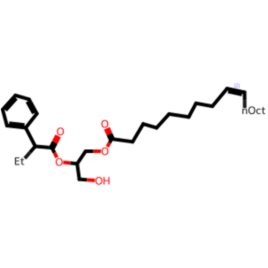 CCCCCCCC/C=C\CCCCCCCC(=O)OCC(CO)OC(=O)C(CC)c1ccccc1